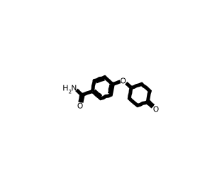 NC(=O)c1ccc(OC2CCC(=O)CC2)cc1